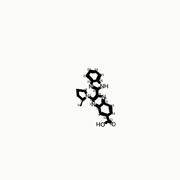 C[C@H]1CCCN1c1nc2cc(C(=O)O)ccc2nc1-c1nc2ccccc2[nH]1